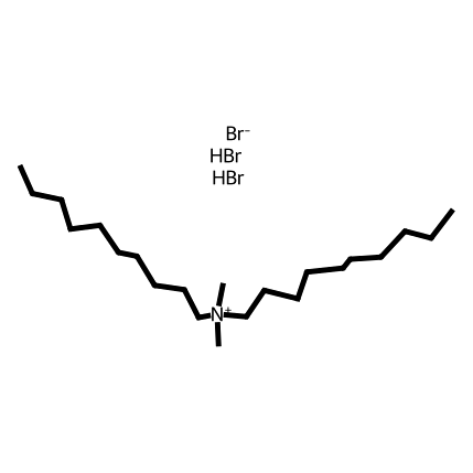 Br.Br.CCCCCCCCCC[N+](C)(C)CCCCCCCCCC.[Br-]